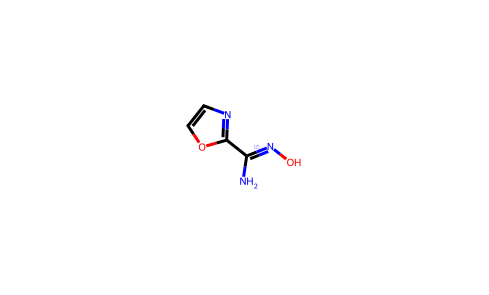 N/C(=N\O)c1ncco1